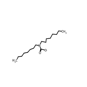 CCCCCCCCN(CCCCCCCC)C([O])=O